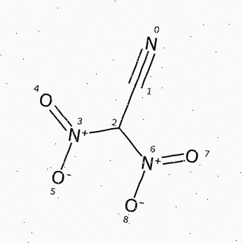 N#CC([N+](=O)[O-])[N+](=O)[O-]